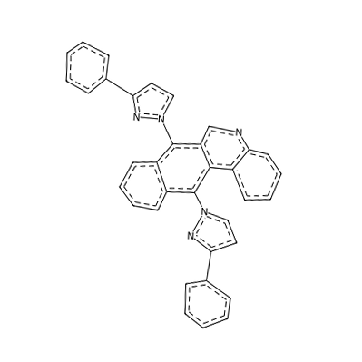 c1ccc(-c2ccn(-c3c4ccccc4c(-n4ccc(-c5ccccc5)n4)c4c3cnc3ccccc34)n2)cc1